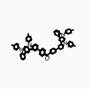 Cc1ccc(-n2c3ccccc3c3cc4c5cc(-c6ccc(C(=O)c7ccc(-c8ccc9c(c8)c8cc%10c%11ccccc%11n(-c%11ccc(C)cc%11)c%10cc8n9-c8ccc(C)cc8)cc7)cc6)ccc5n(-c5ccc(C)cc5)c4cc32)cc1